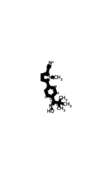 Cn1c(C#N)ccc1-c1ccc(/C(=N/O)C(C)(C)C)cc1